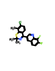 Cc1c(Cl)ccc2c1SC(C)(C)N=C2c1cnc2c(F)c(F)ccc2c1